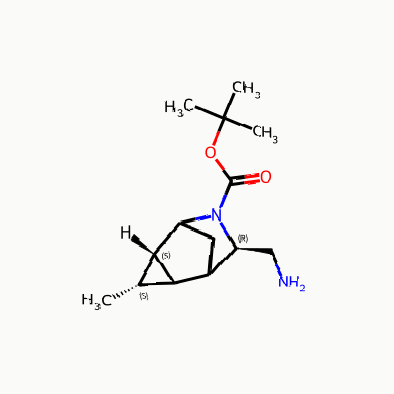 C[C@H]1C2C3CC([C@H]21)N(C(=O)OC(C)(C)C)[C@H]3CN